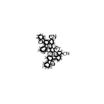 CC(C)c1c(-c2ccc(C#N)cc2)c(-n2c3ccccc3c3c4oc5ccccc5c4ccc32)c(C(C)C)c(-n2c3ccccc3c3c4oc5ccccc5c4ccc32)c1-c1ccc(C#N)cc1